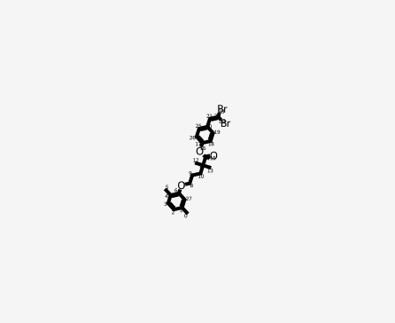 Cc1ccc(C)c(OCCCC(C)(C)C(=O)Oc2ccc(C=C(Br)Br)cc2)c1